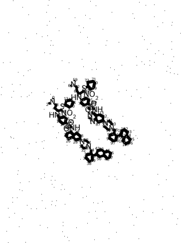 CN(C)CCC(CSc1ccccc1)Nc1ccc(S(=O)(=O)Nc2cccc3cc(N4CCN(Cc5ccccc5-c5ccc6ccccc6c5)CC4)ccc23)cc1[N+](=O)[O-].CN(C)CCC(CSc1ccccc1)Nc1ccc(S(=O)(=O)Nc2ncnc3cc(N4CCN(Cc5ccccc5-c5cccc6ccccc56)CC4)ccc23)cc1[N+](=O)[O-]